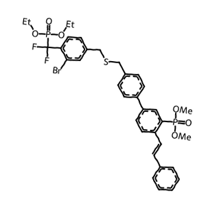 CCOP(=O)(OCC)C(F)(F)c1ccc(CSCc2ccc(-c3ccc(C=Cc4ccccc4)c(P(=O)(OC)OC)c3)cc2)cc1Br